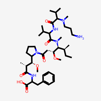 CC[C@H](C)[C@@H]([C@@H](CC(=O)N1CCCC1[C@H](OC)[C@@H](C)C(=O)NC(Cc1ccccc1)C(=O)O)OC)N(C)C(=O)C(NC(=O)C(C(C)C)N(C)CCCN)C(C)C